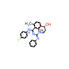 Cc1cccc(C)c1/C(=N\C(=N/c1ccccc1)N1CCC(O)CC1)Nc1ccc(F)cc1